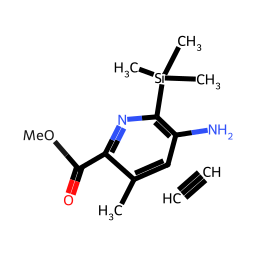 C#C.COC(=O)c1nc([Si](C)(C)C)c(N)cc1C